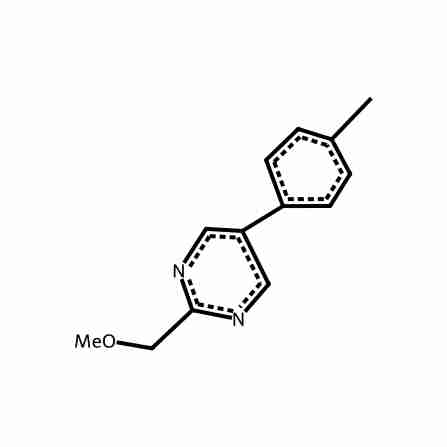 COCc1ncc(-c2ccc(C)cc2)cn1